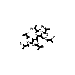 CC(Br)C(=O)OCC(OC(=O)C(C)Br)C(OC(=O)C(C)Br)C(OC(=O)C(C)Br)C(COC(=O)C(C)Br)OC(=O)C(C)Br